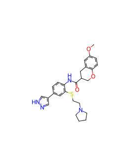 COc1ccc2c(c1)CC(C(=O)Nc1ccc(-c3cn[nH]c3)cc1SCCN1CCCC1)CO2